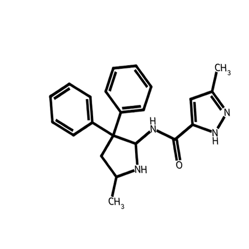 Cc1cc(C(=O)NC2NC(C)CC2(c2ccccc2)c2ccccc2)[nH]n1